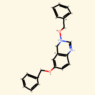 C1=Nc2ccc(OCc3ccccc3)cc2CN1OCc1ccccc1